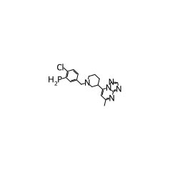 Cc1cc(C2CCCN(Cc3ccc(Cl)c(P)c3)C2)n2ncnc2n1